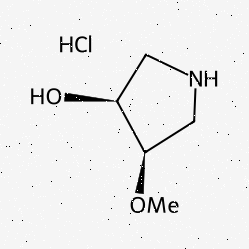 CO[C@@H]1CNC[C@@H]1O.Cl